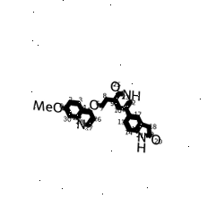 COc1ccc2c(OCCc3cc(-c4ccc5c(c4)CC(=O)N5)c[nH]c3=O)ccnc2c1